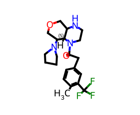 Cc1ccc(CC(=O)N2CCNC3COCC(N4CCCC4)[C@H]32)cc1C(F)(F)F